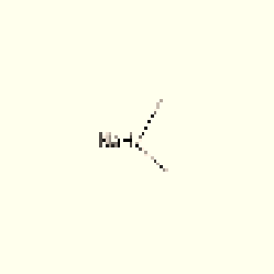 [CH2]CC.[NaH]